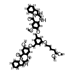 C=C=C(CCCCOc1cc(COc2cc3c(cc2OC)C(=O)N2c4ccccc4C[C@H]2C=N3)cc(COc2cc3c(cc2OC)C(=O)N2c4ccccc4C[C@H]2CN3)c1)OC